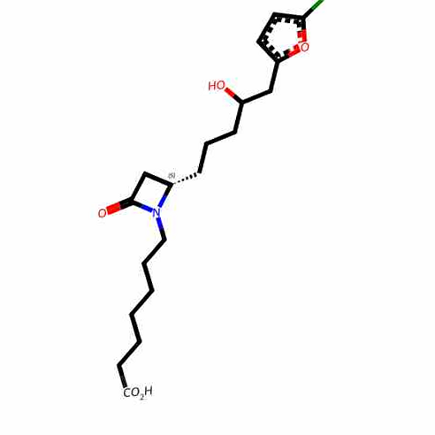 O=C(O)CCCCCCN1C(=O)C[C@@H]1CCCC(O)Cc1ccc(F)o1